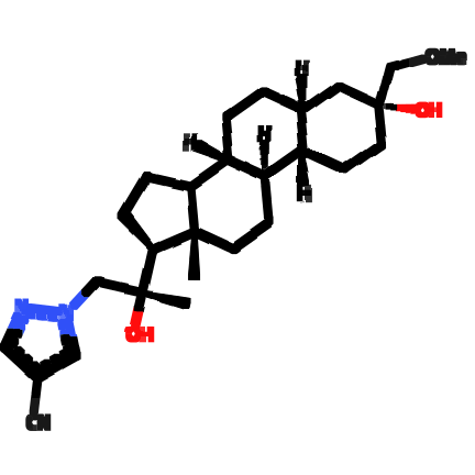 COC[C@@]1(O)CC[C@H]2[C@H](CC[C@H]3C4CC[C@H]([C@](C)(O)Cn5cc(C#N)cn5)[C@@]4(C)CC[C@H]23)C1